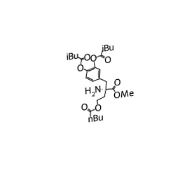 CCCCC(=O)OCC[C@@](N)(Cc1ccc(OC(=O)C(C)CC)c(OC(=O)C(C)CC)c1)C(=O)OC